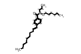 CCCCCCCCC=Cc1ccc(C(=O)N(CCC)OCCCCCC)cc1